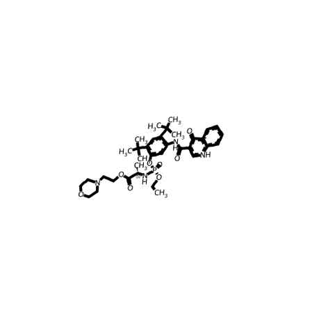 CCOP(=O)(N[C@@H](C)C(=O)OCCN1CCOCC1)Oc1cc(NC(=O)c2c[nH]c3ccccc3c2=O)c(C(C)(C)C)cc1C(C)(C)C